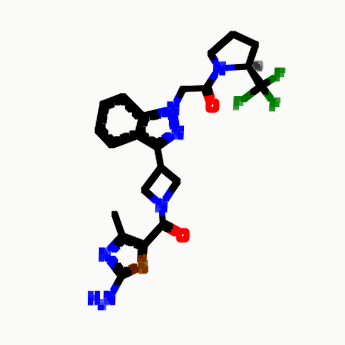 Cc1nc(N)sc1C(=O)N1CC(c2nn(CC(=O)N3CCC[C@H]3C(F)(F)F)c3ccccc23)C1